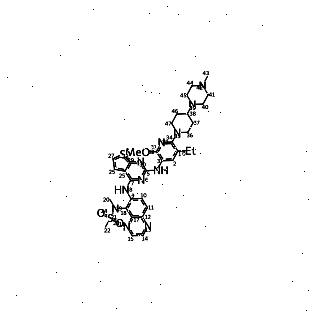 CCc1cc(Nc2nc(Nc3ccc4nccnc4c3N(C)S(C)(=O)=O)c3ccsc3n2)c(OC)nc1N1CCC(N2CCN(C)CC2)CC1